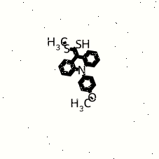 COc1ccc(N2c3ccccc3C(=C(S)SC)c3ccccc32)cc1